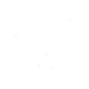 CC(C)(O)CN1CCc2cc(Nc3ncc(C(F)(F)F)c(-c4cc5c(s4)C(=O)N(C4CC4)CCS5(=O)=O)n3)c(C3CC3)cc2C1